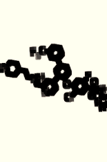 O=S(=O)(Nc1nncs1)c1cc(Cl)c(Oc2ccc(-c3cccc(C(F)(F)F)c3)cc2-c2ccnc(CNCCC3CCNCC3)c2)cc1F